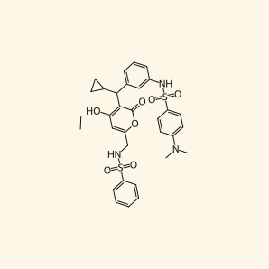 CC.CN(C)c1ccc(S(=O)(=O)Nc2cccc(C(c3c(O)cc(CNS(=O)(=O)c4ccccc4)oc3=O)C3CC3)c2)cc1